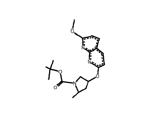 COc1ccc2ccc(OC3CC(C)N(C(=O)OC(C)(C)C)C3)nc2n1